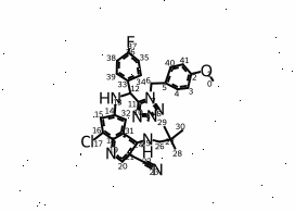 COc1ccc(Cn2nnnc2C(Nc2cc(Cl)c3ncc(C#N)c(NCC(C)(C)C)c3c2)c2ccc(F)cc2)cc1